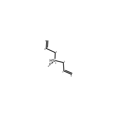 C=CC[SiH](F)CC=C